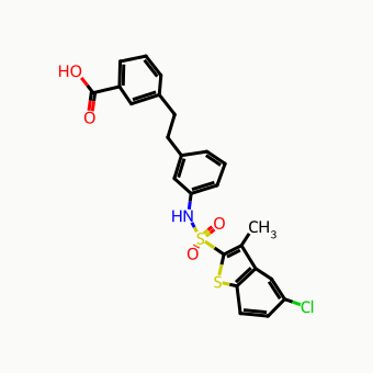 Cc1c(S(=O)(=O)Nc2cccc(CCc3cccc(C(=O)O)c3)c2)sc2ccc(Cl)cc12